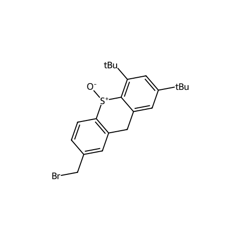 CC(C)(C)c1cc2c(c(C(C)(C)C)c1)[S+]([O-])c1ccc(CBr)cc1C2